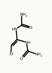 CCC=C(NC(N)=O)NC(N)=O